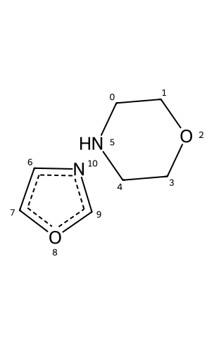 C1COCCN1.c1cocn1